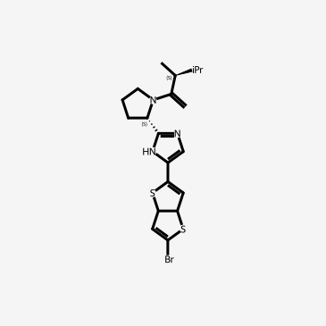 C=C([C@@H](C)C(C)C)N1CCC[C@H]1c1ncc(C2=CC3SC(Br)=CC3S2)[nH]1